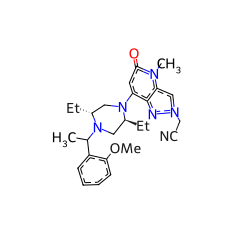 CC[C@H]1CN(C(C)c2ccccc2OC)[C@H](CC)CN1c1cc(=O)n(C)c2cn(CC#N)nc12